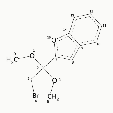 COC(CBr)(OC)c1cc2ccccc2o1